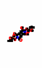 CCCCS(=O)(=O)ON1C(=O)C2C(C1=O)C1C(=O)N(OS(=O)(=O)CCCC)C(=O)C21